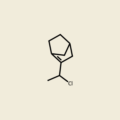 CC(Cl)C1=C2CCC(C2)C1